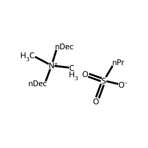 CCCCCCCCCC[N+](C)(C)CCCCCCCCCC.CCCS(=O)(=O)[O-]